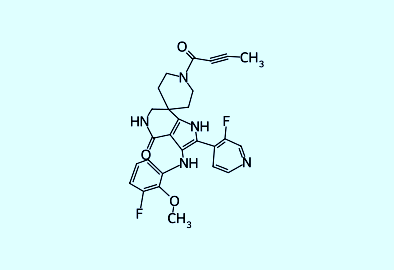 CC#CC(=O)N1CCC2(CC1)CNC(=O)c1c2[nH]c(-c2ccncc2F)c1Nc1cccc(F)c1OC